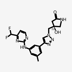 Cc1cc(Nc2nccc(C(F)F)n2)cc(-c2cn(C[C@@]3(O)CNC(=O)C3)nn2)c1